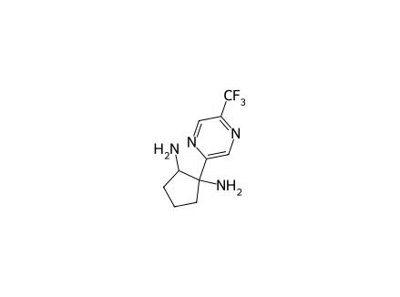 NC1CCCC1(N)c1cnc(C(F)(F)F)cn1